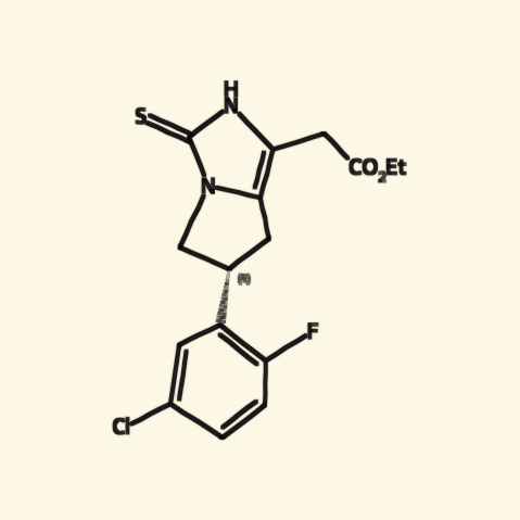 CCOC(=O)Cc1[nH]c(=S)n2c1C[C@H](c1cc(Cl)ccc1F)C2